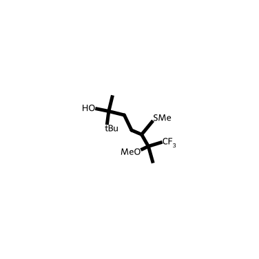 COC(C)(C(CCC(C)(O)C(C)(C)C)SC)C(F)(F)F